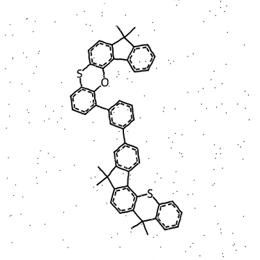 CC1(C)c2ccccc2Sc2c1ccc1c2-c2ccc(-c3cccc(-c4cccc5c4Oc4c(ccc6c4-c4ccccc4C6(C)C)S5)c3)cc2C1(C)C